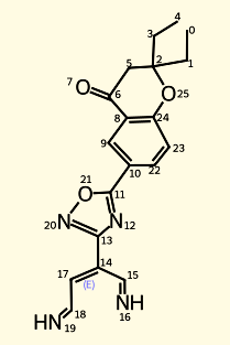 CCC1(CC)CC(=O)c2cc(-c3nc(/C(C=N)=C/C=N)no3)ccc2O1